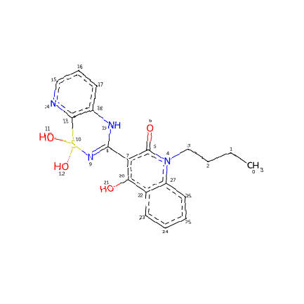 CCCCn1c(=O)c(C2=NS(O)(O)c3ncccc3N2)c(O)c2ccccc21